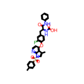 Cc1ccc(S(=O)(=O)n2cc(C)c3c(Oc4ccc(CC(NC(=O)O)C(=O)Nc5ccccc5)cc4F)ccnc32)cc1